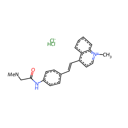 CNCC(=O)Nc1ccc(C=Cc2cc[n+](C)c3ccccc23)cc1.Cl.[Cl-]